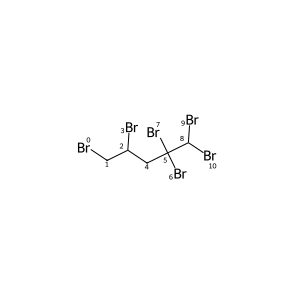 BrCC(Br)CC(Br)(Br)C(Br)Br